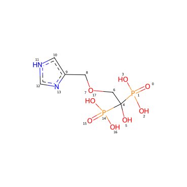 O=P(O)(O)C(O)(COCc1c[nH]cn1)P(=O)(O)O